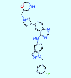 Fc1cccc(Cn2ncc3cc(Nc4ncnc5ccc(-c6ccn(CC7CNCCO7)c6)cc45)ccc32)c1